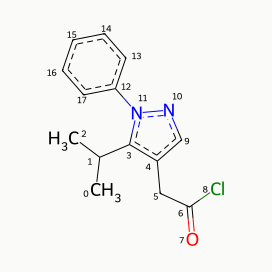 CC(C)c1c(CC(=O)Cl)cnn1-c1ccccc1